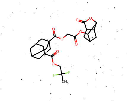 CC(F)(F)COC(=O)C12CC3CC(CC(C(=O)OCC(=O)OC4C5CC6C(=O)OC4C6C5)(C3)C1)C2